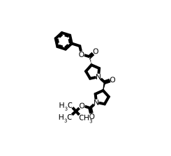 CC(C)(C)OC(=O)N1CC[C@H](C(=O)N2CC[C@H](C(=O)OCc3ccccc3)C2)C1